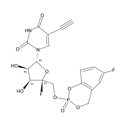 C#Cc1cn([C@@H]2O[C@](F)(COP3(=O)OCc4cc(F)ccc4O3)[C@@H](O)[C@H]2O)c(=O)[nH]c1=O